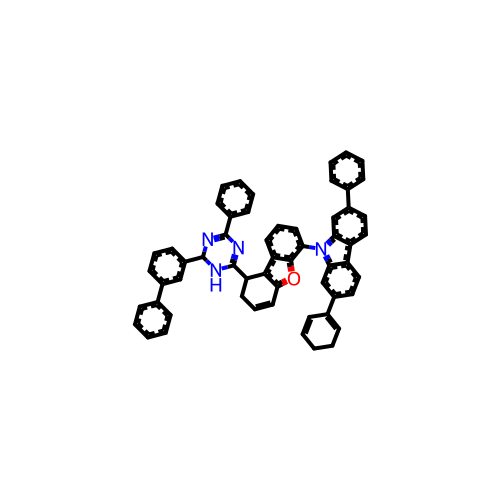 C1=CC(c2ccc3c4ccc(-c5ccccc5)cc4n(-c4cccc5c6c(oc45)C=CCC6C4=NC(c5ccccc5)=NC(c5cccc(-c6ccccc6)c5)N4)c3c2)=CCC1